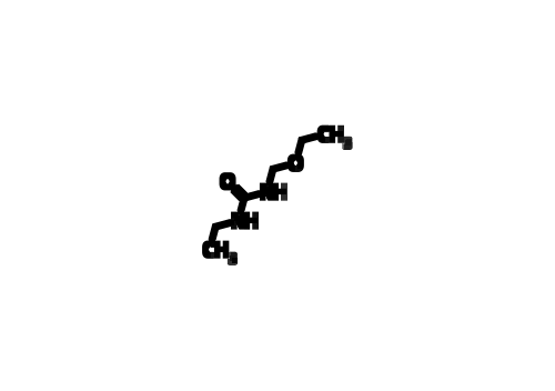 CCNC(=O)NCOCC